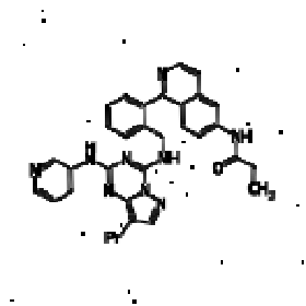 C=CC(=O)Nc1ccc2c(-c3ccccc3CNc3nc(Nc4cccnc4)nc4c(C(C)C)cnn34)nccc2c1